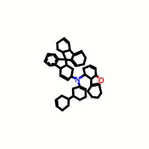 C1=CCC(C2CCC=C(N(C3C=CC4c5ccccc5C5(C6=CCCC=C6C6C=CCCC65)C4C3)C3CC=CC4OC5=C(CCCC5)C43)C2)CC1